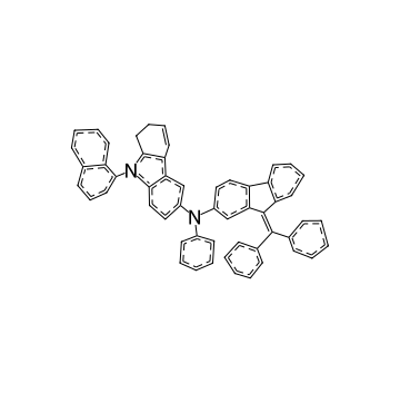 C1=Cc2c(n(-c3cccc4ccccc34)c3ccc(N(c4ccccc4)c4ccc5c(c4)C(=C(c4ccccc4)c4ccccc4)c4ccccc4-5)cc23)CC1